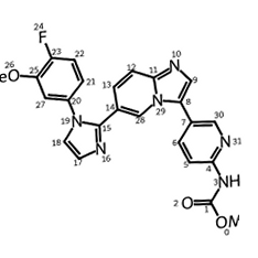 COC(=O)Nc1ccc(-c2cnc3ccc(-c4nccn4-c4ccc(F)c(OC)c4)cn23)cn1